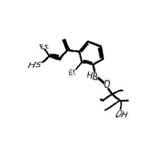 C=C(/C=C(/S)CC)c1cccc(BOC(C)(C)C(C)(C)O)c1CC